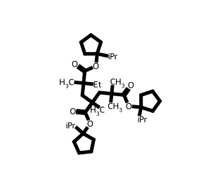 CCC(C)(CC(C)(CC(C)(C)C(=O)OC1(C(C)C)CCCC1)C(=O)OC1(C(C)C)CCCC1)C(=O)OC1(C(C)C)CCCC1